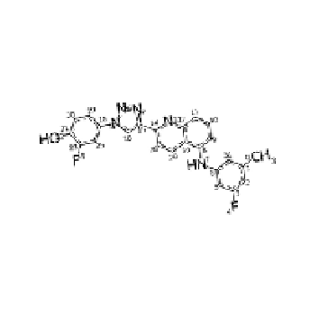 Cc1cc(F)cc(Nc2cccc3nc(-c4cn(-c5ccc(O)c(F)c5)nn4)ccc23)c1